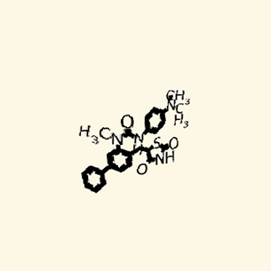 CN(C)c1ccc(NC(=O)N(C)c2cc(-c3ccccc3)ccc2CC2SC(=O)NC2=O)cc1